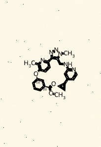 COC(=O)[C@H]1CCC[C@H](Oc2ccc(-c3nnn(C)c3CNc3cc(C4CC4)ccn3)nc2C)C1